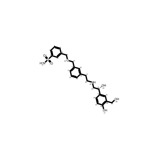 NS(=O)(=O)c1cccc(COCc2cccc(CCNC[C@H](O)c3ccc(O)c(CO)c3)c2)c1